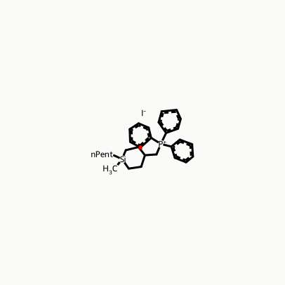 CCCCC[Si]1(C)CCC(C[P+](c2ccccc2)(c2ccccc2)c2ccccc2)CC1.[I-]